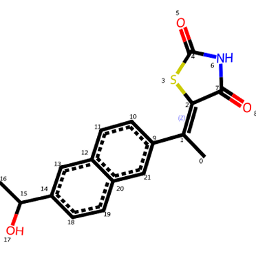 C/C(=C1/SC(=O)NC1=O)c1ccc2cc(C(C)O)ccc2c1